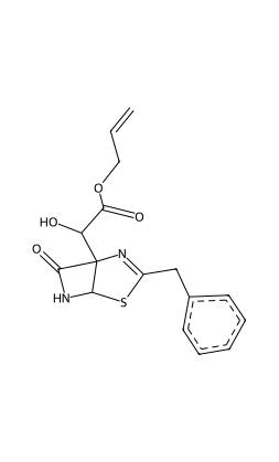 C=CCOC(=O)C(O)C12N=C(Cc3ccccc3)SC1NC2=O